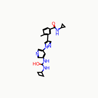 Cc1ccc(C(=O)NC2CC2)cc1-c1cnn(-c2cncc(NC(O)NC3CCC3)c2)c1